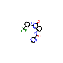 O=C(Nc1cccc2c(=O)[nH]c(-c3cccc(C(F)(F)F)c3)nc12)c1cnccn1